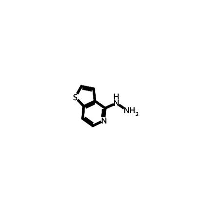 NNc1nccc2sccc12